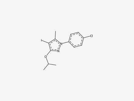 Cc1c(I)c(OC(C)C)nn1-c1ccc(Cl)cc1